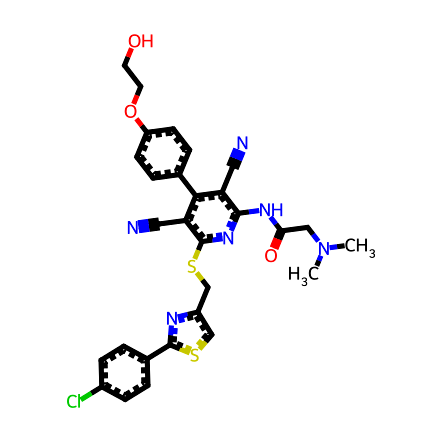 CN(C)CC(=O)Nc1nc(SCc2csc(-c3ccc(Cl)cc3)n2)c(C#N)c(-c2ccc(OCCO)cc2)c1C#N